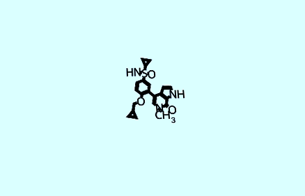 Cn1cc(-c2cc(S(=N)(=O)C3CC3)ccc2OCC2CC2)c2cc[nH]c2c1=O